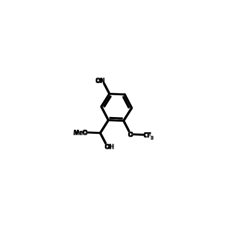 COC(O)c1cc(N=O)ccc1OC(F)(F)F